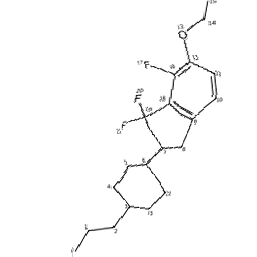 CCCC1CCC(C2Cc3ccc(OCC)c(F)c3C2(F)F)CC1